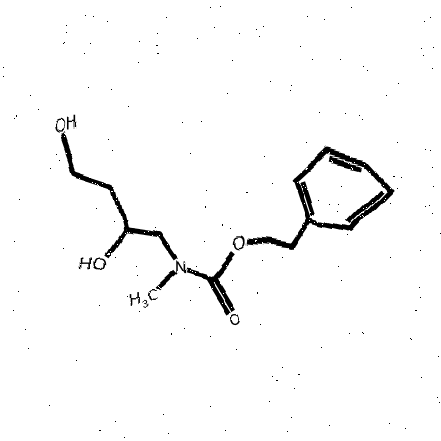 CN(CC(O)CCO)C(=O)OCc1ccccc1